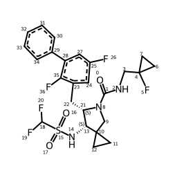 O=C(NCC1(F)CC1)N1CC2(CC2)[C@H](NS(=O)(=O)C(F)F)[C@@H]1Cc1cc(F)cc(-c2ccccc2)c1F